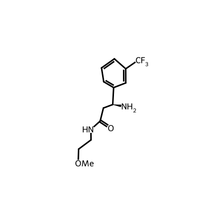 COCCNC(=O)C[C@H](N)c1cccc(C(F)(F)F)c1